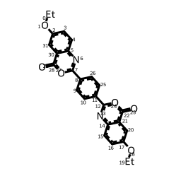 CCOc1ccc2nc(-c3ccc(-c4nc5ccc(OCC)cc5c(=O)o4)cc3)oc(=O)c2c1